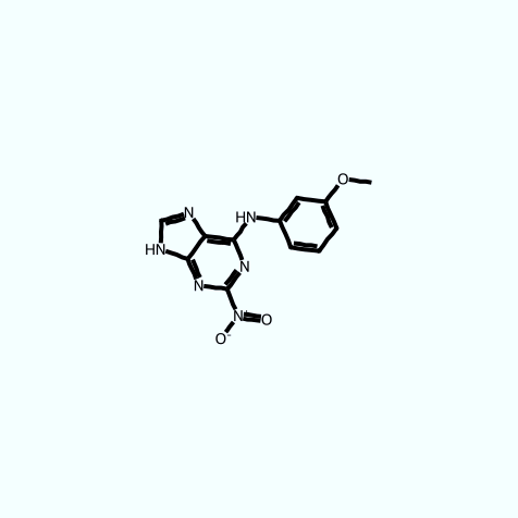 COc1cccc(Nc2nc([N+](=O)[O-])nc3[nH]cnc23)c1